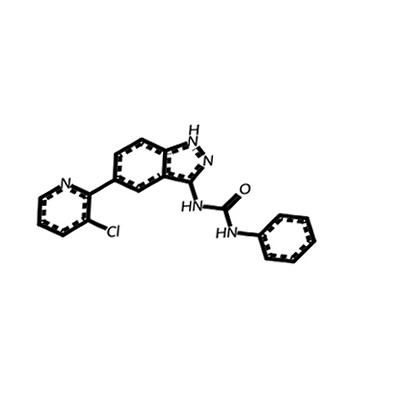 O=C(Nc1ccccc1)Nc1n[nH]c2ccc(-c3ncccc3Cl)cc12